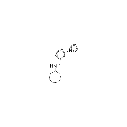 c1ccn(-c2ccnc(CNC3CCCCCC3)c2)c1